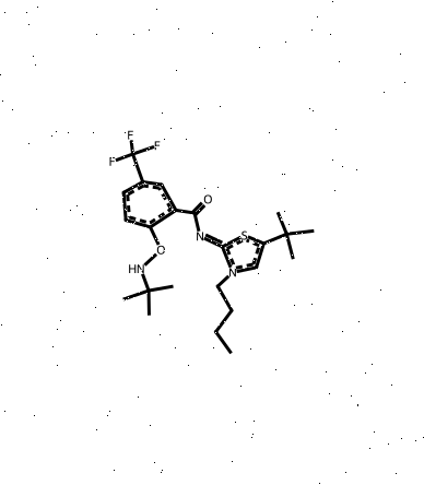 CCCCn1cc(C(C)(C)C)sc1=NC(=O)c1cc(C(F)(F)F)ccc1ONC(C)(C)C